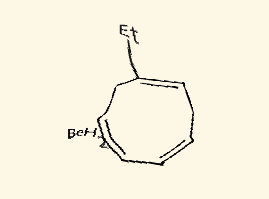 [BeH2].[CH2]Cc1ccccc1